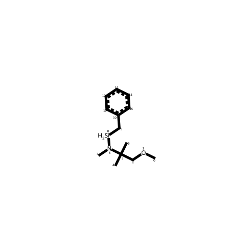 COCC(C)(C)N(C)[SiH2]Cc1ccccc1